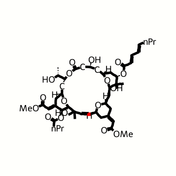 CCC/C=C/C=C/C(=O)O[C@H]1C[C@H]2C[C@@H](O)CC(=O)O[C@@H]([C@@H](C)O)C[C@@H]3C/C(=C\C(=O)OC)[C@H](OC(=O)CCC)[C@@](O)(O3)C(C)(C)/C=C\[C@H]3C/C(=C\C(=O)OC)C[C@@H](C[C@](O)(O2)C1(C)C)O3